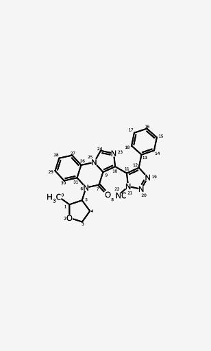 CC1OCCC1n1c(=O)c2c(-c3c(-c4ccccc4)nnn3C#N)ncn2c2ccccc21